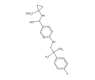 CCOC(=O)C1(NC(O)c2cnc(NCC(C)(C)c3ccc(F)cc3)nc2)CC1